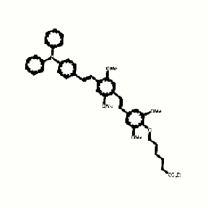 CCOC(=O)CCCCCOc1c(OC)cc(C=Cc2cc(OC)c(C=Cc3ccc(N(c4ccccc4)c4ccccc4)cc3)cc2OC)cc1OC